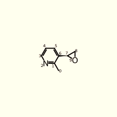 Cc1ncccc1[C@H]1CO1